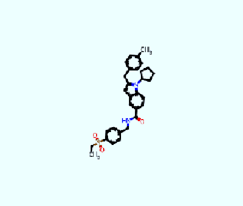 CCS(=O)(=O)c1ccc(CNC(=O)c2ccc3c(c2)cc(Cc2ccc(C)cc2)n3C2CCCC2)cc1